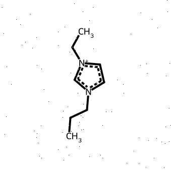 CCCn1cc[n+](CC)c1